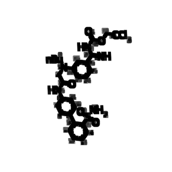 CCCCN(CC(=O)Nc1ccc(-c2ccccc2S(N)(=O)=O)cc1)c1cccc(C(=N)NC(=O)OCC(Cl)(Cl)Cl)c1